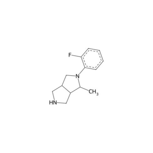 CC1C2CNCC2CN1c1ccccc1F